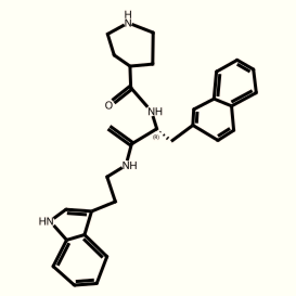 C=C(NCCc1c[nH]c2ccccc12)[C@@H](Cc1ccc2ccccc2c1)NC(=O)C1CCNCC1